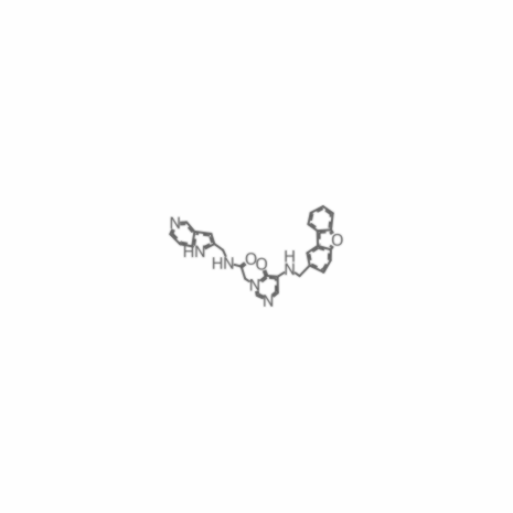 O=C(Cn1cncc(NCc2ccc3oc4ccccc4c3c2)c1=O)NCc1cc2cnccc2[nH]1